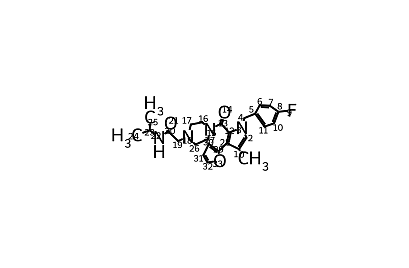 Cc1cn(Cc2ccc(F)cc2)c(C(=O)N2CCN(CC(=O)NC(C)C)CC2)c1-c1ccco1